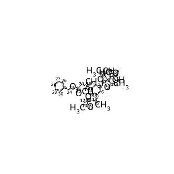 CCOP(=O)(c1ccc(OP(=O)(CC)CC)c(C(C)(C)CC(=O)OCc2ccccc2)c1)C(CC)(CC)P(=O)(O)O